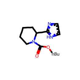 CCCCOC(=O)N1CCCCC1c1ncc[nH]1